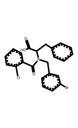 O=C(O)C(Cc1ccccc1)N(Cc1cccc(Br)c1)C(=O)c1ccccc1Cl